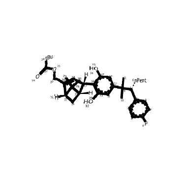 CCCCC[C@H](c1ccc(F)cc1)C(C)(C)c1cc(O)c([C@H]2C=C(COC(=O)C(C)(C)C)[C@H]3C[C@@H]2C3(C)C)c(O)c1